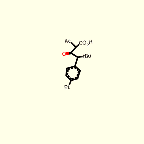 CCc1ccc(C(C(=O)C(C(C)=O)C(=O)O)C(C)(C)C)cc1